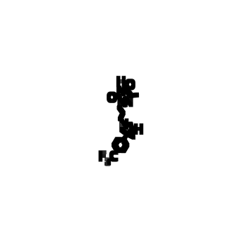 Cc1nn(CCCN2C[C@@H]3C[C@]3(c3ccc(C(F)(F)F)cc3)C2)c(=O)[nH]c1=O